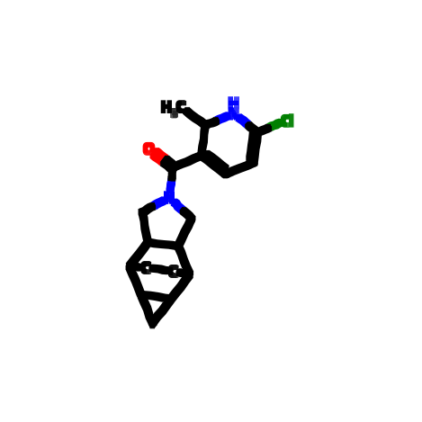 CC1NC(Cl)=CC=C1C(=O)N1CC2C3CCC(C4CC34)C2C1